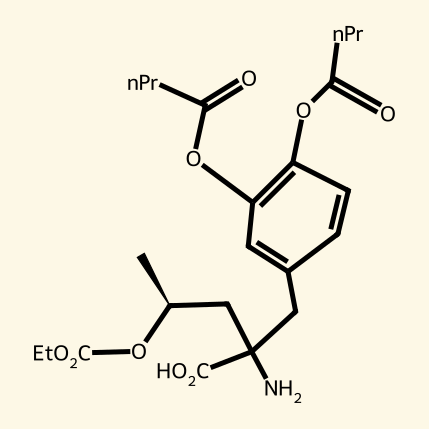 CCCC(=O)Oc1ccc(CC(N)(C[C@H](C)OC(=O)OCC)C(=O)O)cc1OC(=O)CCC